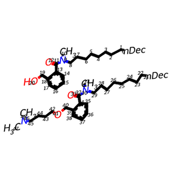 CCCCCCCCCCCCCCCCCCN(C)C(=O)c1ccccc1CO.CCCCCCCCCCCCCCCCCCN(C)C(=O)c1ccccc1COCCCCN(C)C